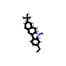 CCc1ccc2c3cc4ccc(C(C)(C)C)cc4cc3n(C)c2c1